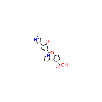 COc1cc(C(=O)N2CCC[C@@H]2c2cccc(C(=O)O)c2)ccc1-c1cn[nH]c1